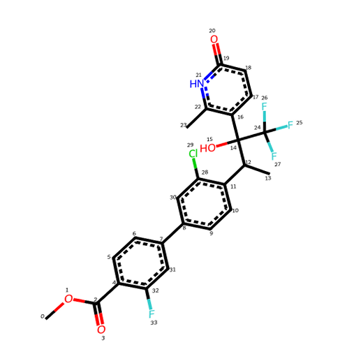 COC(=O)c1ccc(-c2ccc(C(C)C(O)(c3ccc(=O)[nH]c3C)C(F)(F)F)c(Cl)c2)cc1F